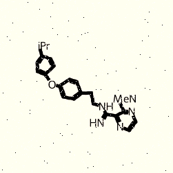 CNc1nccnc1C(=N)NCCc1ccc(Oc2ccc(C(C)C)cc2)cc1